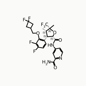 C[C@H]1[C@@H](c2ccc(F)c(F)c2OCC2CC(F)(F)C2)[C@@H](C(=O)Nc2ccnc(C(N)=O)c2)O[C@@]1(C)C(F)(F)F